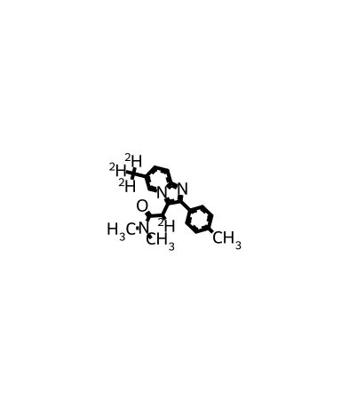 [2H]C(C(=O)N(C)C)c1c(-c2ccc(C)cc2)nc2ccc(C([2H])([2H])[2H])cn12